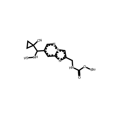 CC(C)(C)OC(=O)NCc1cn2ncc(C(NS)C3(C#N)CC3)cc2n1